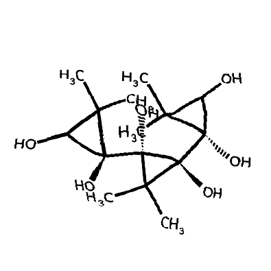 CC1(C)[C@@](O)([C@]2(O)C(O)C2(C)C)[C@]1(O)[C@]1(O)C(O)C1(C)C